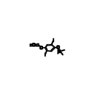 CCCCCCCCOc1cc(I)c(O[Si](C)(C)C)cc1I